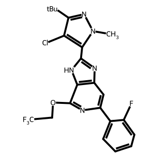 Cn1nc(C(C)(C)C)c(Cl)c1-c1nc2cc(-c3ccccc3F)nc(OCC(F)(F)F)c2[nH]1